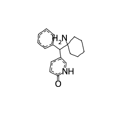 NC1(C(c2ccccc2)c2ccc(=O)[nH]c2)CCCCC1